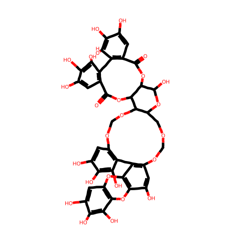 O=C1OC2C(O)OC3COCOc4cc(O)c5c(c4-c4c(cc(O)c(O)c4O)OCOC3C2OC(=O)c2cc(O)c(O)c(O)c2-c2c1cc(O)c(O)c2O)Oc1cc(O)c(O)c(O)c1O5